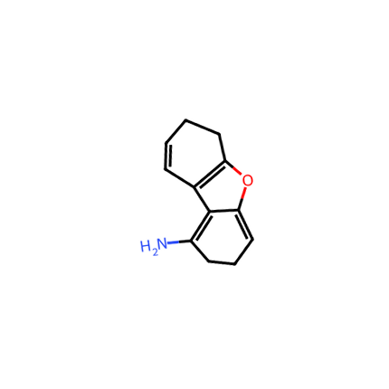 NC1=c2c3c(oc2=CCC1)CCC=C3